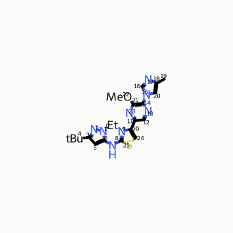 CCn1nc(C(C)(C)C)cc1Nc1nc(-c2cnc(-n3cnc(C)c3)c(OC)n2)cs1